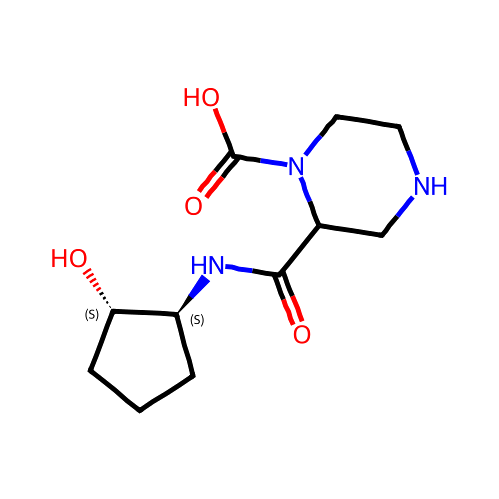 O=C(N[C@H]1CCC[C@@H]1O)C1CNCCN1C(=O)O